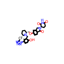 O=C1CCC(N2Cc3cc(OC[C@H]4CCCCN4Cc4cc(-n5nnnc5C(F)(F)F)ccc4O)ccc3C2=O)C(=O)N1